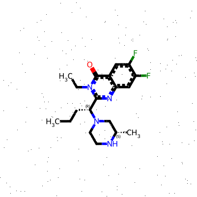 CCC[C@H](c1nc2cc(F)c(F)cc2c(=O)n1CC)N1CCN[C@@H](C)C1